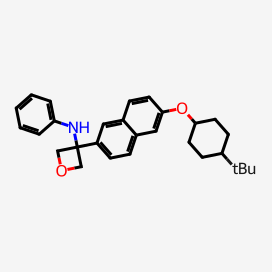 CC(C)(C)C1CCC(Oc2ccc3cc(C4(Nc5ccccc5)COC4)ccc3c2)CC1